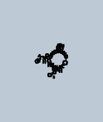 CC(C)(C)OC(=O)N1CCCCOc2cc(ccc2C(=O)NCC2(CN3CCCC3)CC2)Nc2nc(nc(OCC(F)(F)F)n2)NCc2ccc(cc2)OCCC1